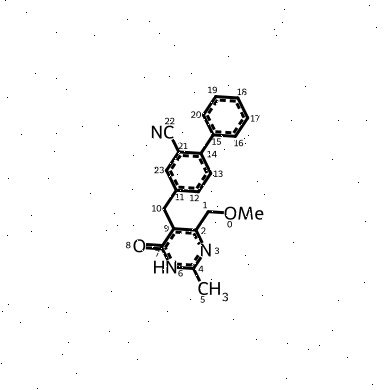 COCc1nc(C)[nH]c(=O)c1Cc1ccc(-c2ccccc2)c(C#N)c1